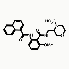 COc1cccc(NC(=O)c2cccc3ccccc23)c1C(=O)NCC1COCCN1C(=O)O